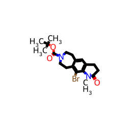 CN1C(=O)CCc2cc3c(c(Br)c21)CCN(C(=O)OC(C)(C)C)CC3